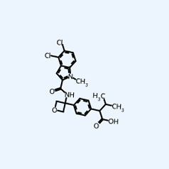 CC(C)C(C(=O)O)c1ccc(C2(NC(=O)c3cc4c(Cl)c(Cl)ccc4n3C)COC2)cc1